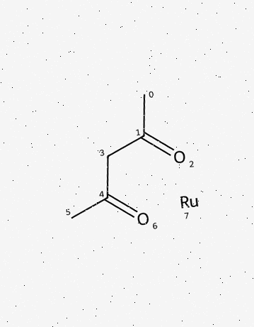 CC(=O)CC(C)=O.[Ru]